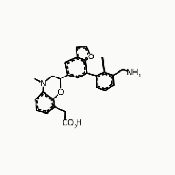 Cc1c(CN)cccc1-c1cc([C@@H]2CN(C)c3cccc(CC(=O)O)c3O2)cc2ccoc12